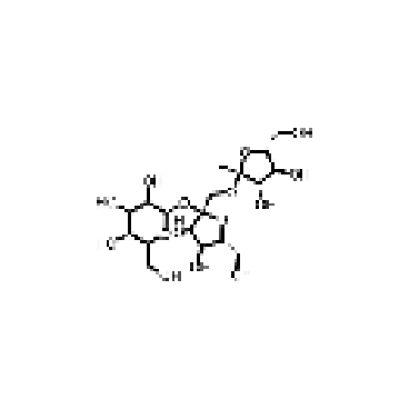 C[C@@]1(OC[C@@]2(O[C@H]3OC(CO)[C@@H](O)[C@@H](O)C3O)O[C@H](CO)C(O)[C@H]2O)O[C@H](CO)C(O)[C@H]1O